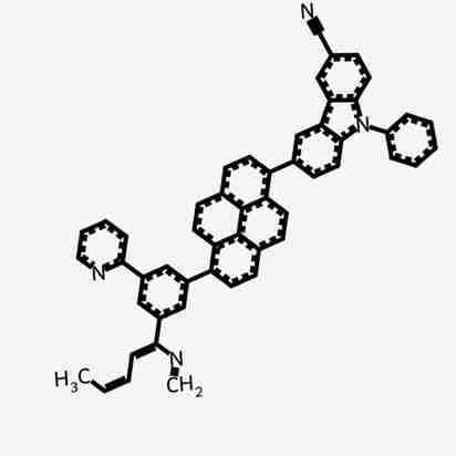 C=N/C(=C\C=C/C)c1cc(-c2ccccn2)cc(-c2ccc3ccc4c(-c5ccc6c(c5)c5cc(C#N)ccc5n6-c5ccccc5)ccc5ccc2c3c54)c1